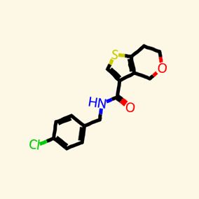 O=C(NCc1ccc(Cl)cc1)c1csc2c1COCC2